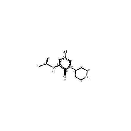 CC(C)Nc1cc(Cl)cn(C2CCOCC2)c1=O